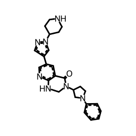 O=C1c2cc(-c3cnn(C4CCNCC4)c3)cnc2NCN1C1CCN(c2ccccc2)C1